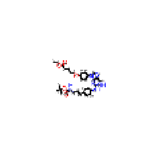 CCOC(=O)CCCCOc1ccc(-n2cnc3c2=NC(Nc2ccc(CCCNC(=O)OC(C)(C)C)cc2)NC=3)cc1